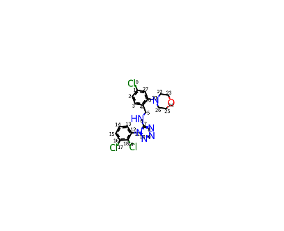 Clc1ccc(CNc2nnnn2-c2cccc(Cl)c2Cl)c(N2CCOCC2)c1